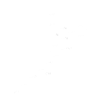 CCCCOCC(O)COc1ccc(-c2nc(-c3ccccc3)nc(-c3ccccc3)n2)c(O)c1